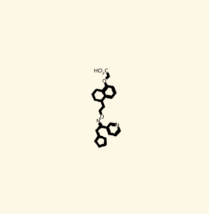 O=C(O)COc1cccc2c1CCCC2CCO/N=C(/CC1CCCC1)c1cccnc1